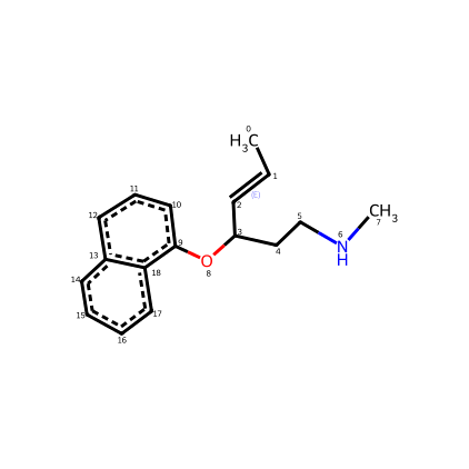 C/C=C/C(CCNC)Oc1cccc2ccccc12